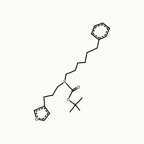 CC(C)(C)OC(=O)N(CCCCCCc1ccccc1)CCCc1ccoc1